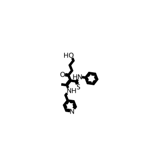 C/C(NCc1ccncc1)=C(\C(=O)CCCO)C(=S)Nc1ccccc1